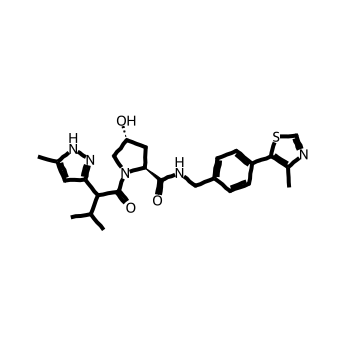 Cc1cc(C(C(=O)N2C[C@H](O)C[C@H]2C(=O)NCc2ccc(-c3scnc3C)cc2)C(C)C)n[nH]1